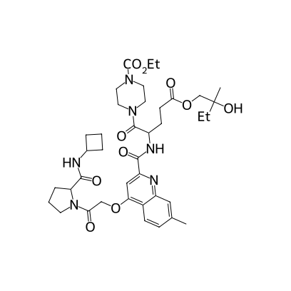 CCOC(=O)N1CCN(C(=O)C(CCC(=O)OCC(C)(O)CC)NC(=O)c2cc(OCC(=O)N3CCCC3C(=O)NC3CCC3)c3ccc(C)cc3n2)CC1